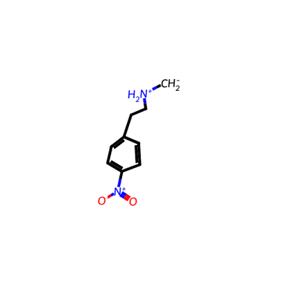 [CH2-][NH2+]CCc1ccc([N+](=O)[O-])cc1